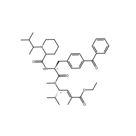 CCOC(=O)/C(C)=C/[C@H](C(C)C)N(C)C(=O)[C@H](Cc1ccc(C(=O)c2ccccc2)cc1)NC(=O)C1CCCCN1C(C)C(C)C